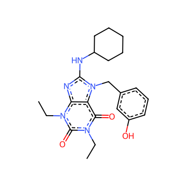 CCn1c(=O)c2c(nc(NC3CCCCC3)n2Cc2cccc(O)c2)n(CC)c1=O